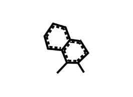 Cc1c[c]c2ccccc2c1C